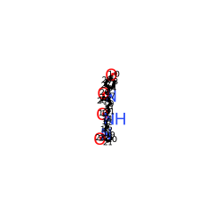 COc1ccc(-c2nc(CCCC(=O)NCCCN3CCCC3=O)c(C)o2)cc1